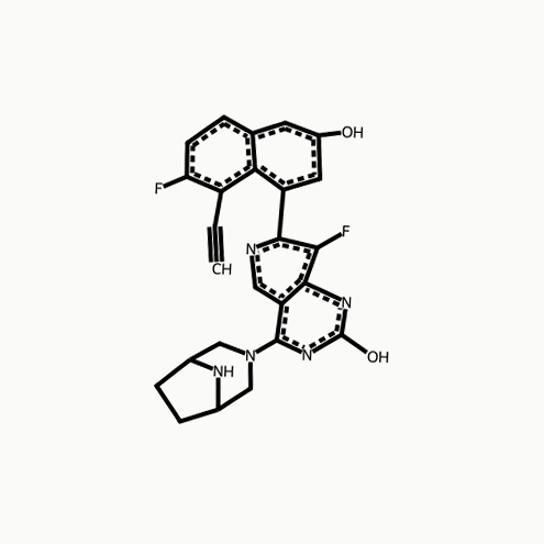 C#Cc1c(F)ccc2cc(O)cc(-c3ncc4c(N5CC6CCC(C5)N6)nc(O)nc4c3F)c12